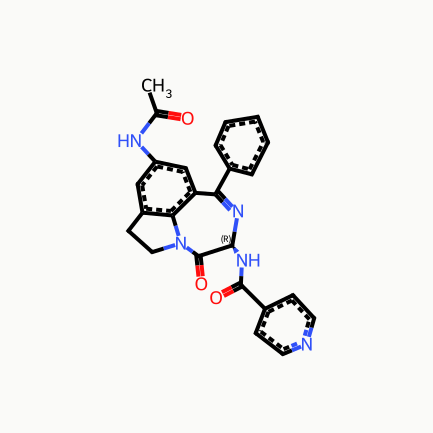 CC(=O)Nc1cc2c3c(c1)C(c1ccccc1)=N[C@@H](NC(=O)c1ccncc1)C(=O)N3CC2